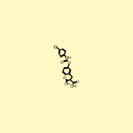 O=C(Nc1ccc(Cl)cc1)Oc1cccc(CC(C(=O)O)C(=O)O)c1